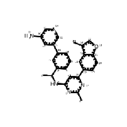 Cc1nc(N[C@@H](C)c2cccc(-c3cncc(N)c3)c2)cc(-c2ccc3occ(C)c3c2)n1